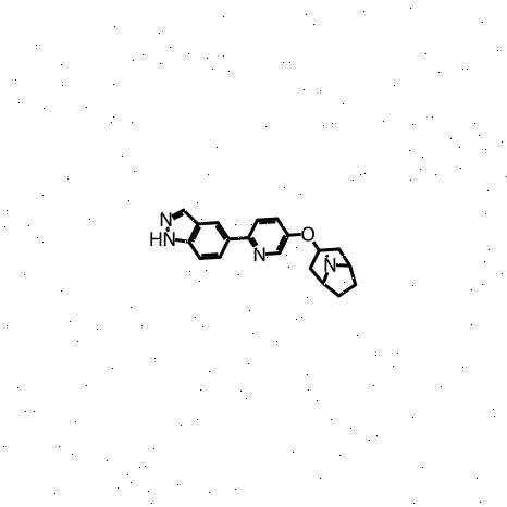 CN1C2CCC1CC(Oc1ccc(-c3ccc4[nH]ncc4c3)nc1)C2